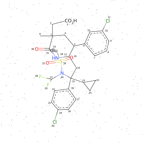 CC1(CC(=O)O)CC(c2cccc(Cl)c2)C(CC(c2ccc(Cl)cc2)(C2CC2)N(C(F)F)S(=O)(=O)C(C)(C)C)NC1=O